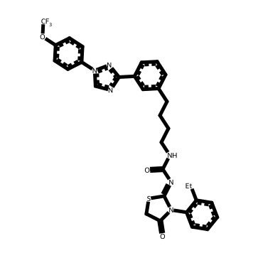 CCc1ccccc1N1C(=O)CS/C1=N\C(=O)NCCCCc1cccc(-c2ncn(-c3ccc(OC(F)(F)F)cc3)n2)c1